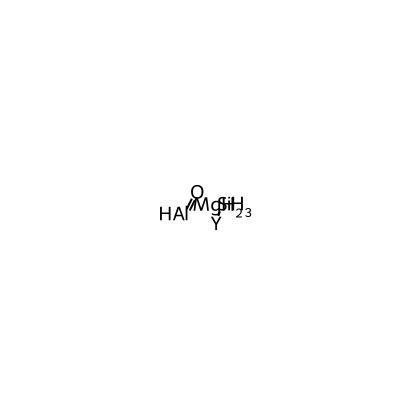 [MgH2].[O]=[AlH].[SiH3][Y]